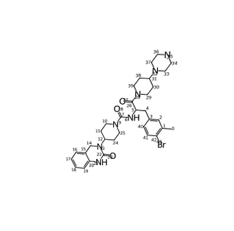 Cc1cc(CC(NC(=O)N2CCC(N3Cc4ccccc4NC3=O)CC2)C(=O)N2CCC(N3CC[N]CC3)CC2)ccc1Br